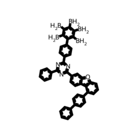 Bc1c(B)c(B)c(-c2ccc(-c3nc(-c4ccccc4)nc(-c4ccc5c(c4)oc4cccc(-c6ccc(-c7ccccc7)cc6)c45)n3)cc2)c(B)c1B